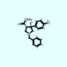 COC(=O)[C@@H]1CN(Cc2ccccc2)C[C@@]1(C)c1ccc(Cl)cc1